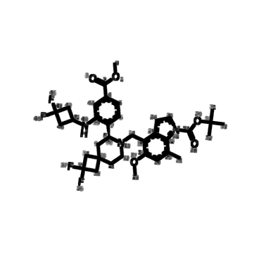 COC(=O)c1ccc([C@@H]2CC3(CCN2Cc2c(OC)cc(C)c4c2ccn4C(=O)OC(C)(C)C)CC(F)(F)C3)c(NC2CC(F)(F)C2)c1